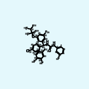 O=C(Nc1cccc(F)c1)N[C@](Cc1ccc(F)c(F)c1)(c1cc(F)cc(OC(F)(F)C(F)F)c1)c1ccc(Cl)cn1